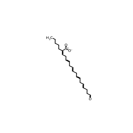 CCCCCC(=CCC=CCC=CCC=CCC=CCCC=O)[N+](=O)[O-]